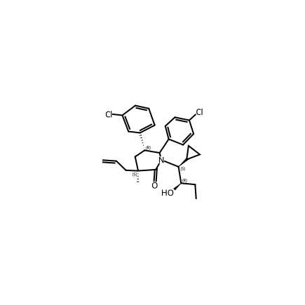 C=CC[C@@]1(C)C[C@H](c2cccc(Cl)c2)C(c2ccc(Cl)cc2)N([C@@H](C2CC2)[C@H](O)CC)C1=O